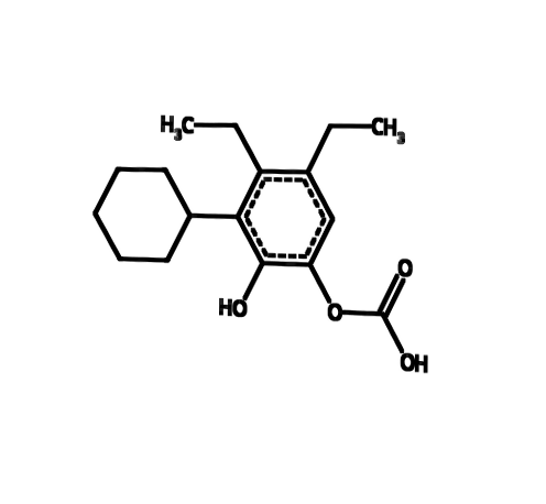 CCc1cc(OC(=O)O)c(O)c(C2CCCCC2)c1CC